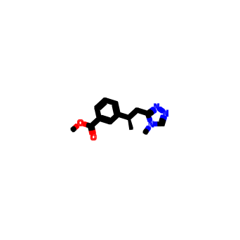 COC(=O)c1cccc([C@H](C)Cc2nncn2C)c1